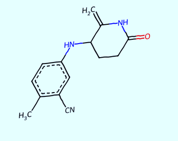 C=C1NC(=O)CCC1Nc1ccc(C)c(C#N)c1